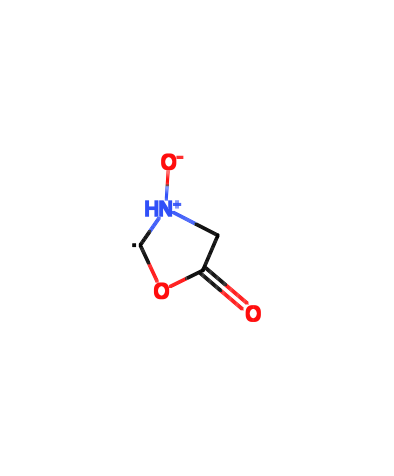 O=C1C[NH+]([O-])[CH]O1